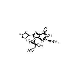 Nc1nc2c(nc(C3CCCC3)n2C(O)(O)F)c(=O)[nH]1